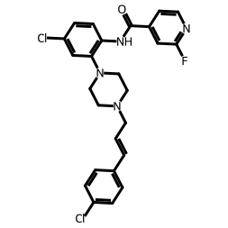 O=C(Nc1ccc(Cl)cc1N1CCN(CC=Cc2ccc(Cl)cc2)CC1)c1ccnc(F)c1